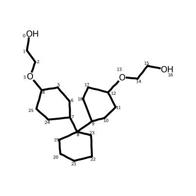 OCCOC1CCC(C2(C3CCC(OCCO)CC3)CCCCC2)CC1